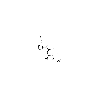 CCOCn1ccnc1C(=O)C(C)=CC(C(C)C)N(C)C(=O)OC(C)(C)C